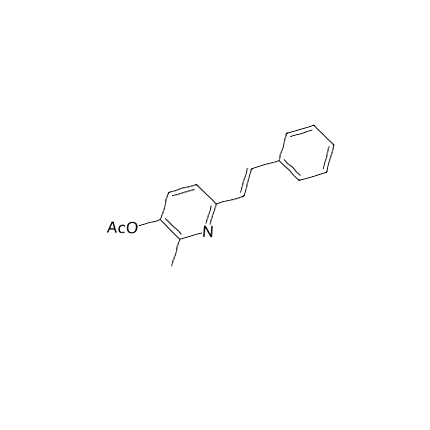 CC(=O)Oc1ccc(/C=C/c2ccccc2)nc1C